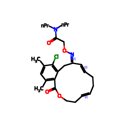 CCCN(CCC)C(=O)CO/N=C1/C=C/CC/C=C/CCOC(=O)c2c(C)cc(C)c(Cl)c2C1